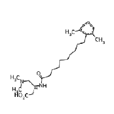 Cc1cccc(C)c1CCCCCCCCCC(=O)N[C@H](CC(=O)O)CN(C)C